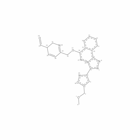 COCc1cc(-c2nnc3c4ccccc4c(OCC4=NCC(C=O)C=C4)nn23)no1